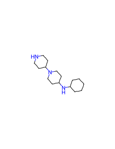 C1CCC(NC2CCN(C3CCNCC3)CC2)CC1